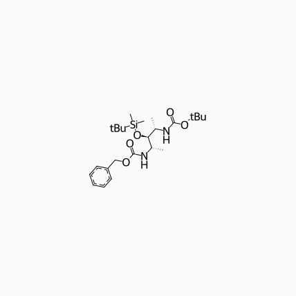 C[C@H](NC(=O)OCc1ccccc1)[C@@H](O[Si](C)(C)C(C)(C)C)[C@H](C)NC(=O)OC(C)(C)C